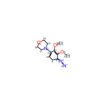 CCOC1=C(OCC)C(=[N+]=[N-])CC=C1N1CCOCC1